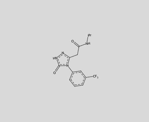 CC(C)NC(=O)Cc1n[nH]c(=O)n1-c1cccc(C(F)(F)F)c1